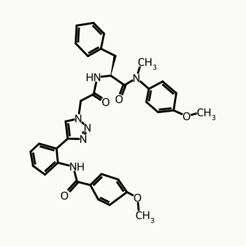 COc1ccc(C(=O)Nc2ccccc2-c2cn(CC(=O)N[C@@H](Cc3ccccc3)C(=O)N(C)c3ccc(OC)cc3)nn2)cc1